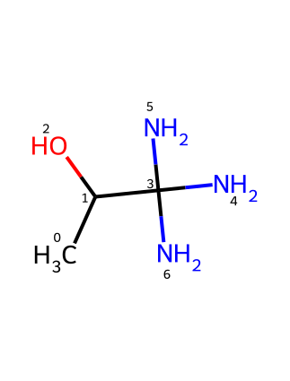 CC(O)C(N)(N)N